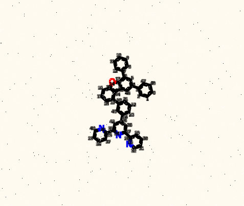 c1ccc(-c2cc(-c3ccccc3)c3oc4cccc(-c5cccc(-c6cc(-c7ccccn7)nc(-c7ccccn7)c6)c5)c4c3c2)cc1